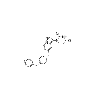 O=C1CCN(c2cnn3ccc(CC4CCN(Cc5ccncc5)CC4)cc23)C(=O)N1